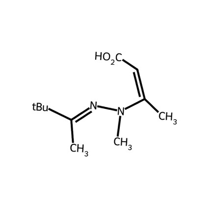 CC(=CC(=O)O)N(C)N=C(C)C(C)(C)C